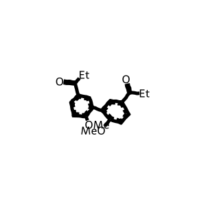 CCC(=O)c1ccc(OC)c(-c2cc(C(=O)CC)ccc2OC)c1